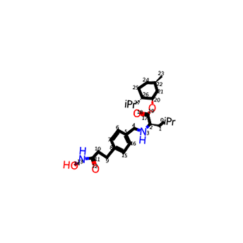 CC(C)C[C@@H](NCc1ccc(CCC(=O)NO)cc1)C(=O)O[C@@H]1C[C@H](C)CC[C@H]1C(C)C